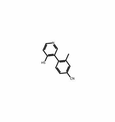 Cc1cc(C#N)ccc1-c1cnccc1S